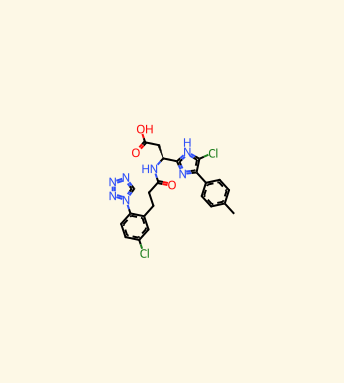 Cc1ccc(-c2nc([C@H](CC(=O)O)NC(=O)CCc3cc(Cl)ccc3-n3cnnn3)[nH]c2Cl)cc1